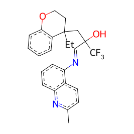 CCC1(CC(O)(C=Nc2cccc3nc(C)ccc23)C(F)(F)F)CCOc2ccccc21